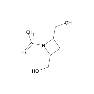 CC(=O)N1C(CO)CC1CO